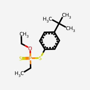 CCOP(=S)(CC)Sc1ccc(C(C)(C)C)cc1